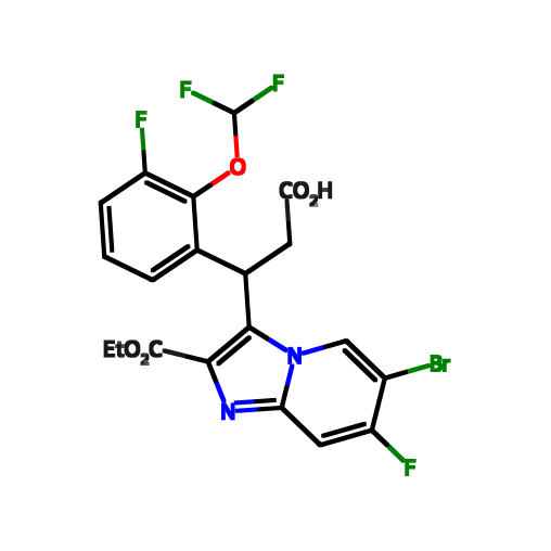 CCOC(=O)c1nc2cc(F)c(Br)cn2c1C(CC(=O)O)c1cccc(F)c1OC(F)F